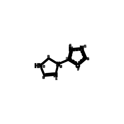 C1=NN(c2nnco2)CN1